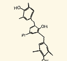 Cc1cc(Cc2cc(C(C)C)cc(Cc3cc(C)c(O)c(C)c3)c2O)cc(C)c1O